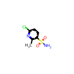 Cc1nc(Cl)ccc1S(N)(=O)=O